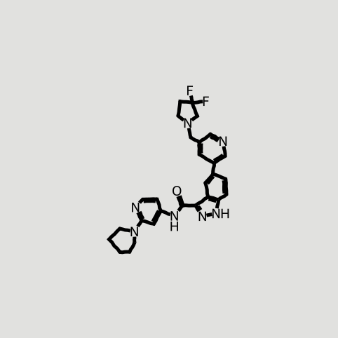 O=C(Nc1ccnc(N2CCCCC2)c1)c1n[nH]c2ccc(-c3cncc(CN4CCC(F)(F)C4)c3)cc12